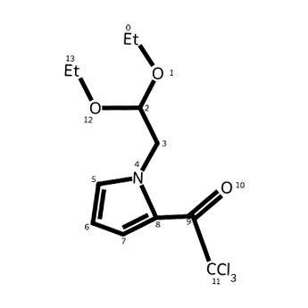 CCOC(Cn1cccc1C(=O)C(Cl)(Cl)Cl)OCC